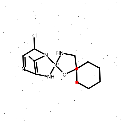 CC1=C2N=CC(Cl)N1[N+]1(NCC3(CC4CCC3CC4)O1)N2